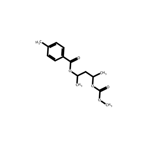 COC(=O)OC(C)CC(C)OC(=O)c1ccc(C)cc1